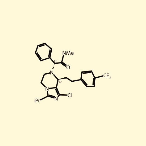 CNC(=O)[C@@H](c1ccccc1)N1CCn2c(C(C)C)nc(Cl)c2[C@@H]1CCc1ccc(C(F)(F)F)cc1